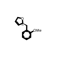 COc1ccccc1C[C@H]1C=CCO1